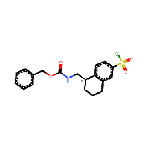 O=C(NC[C@@H]1CCCc2cc(S(=O)(=O)Cl)ccc21)OCc1ccccc1